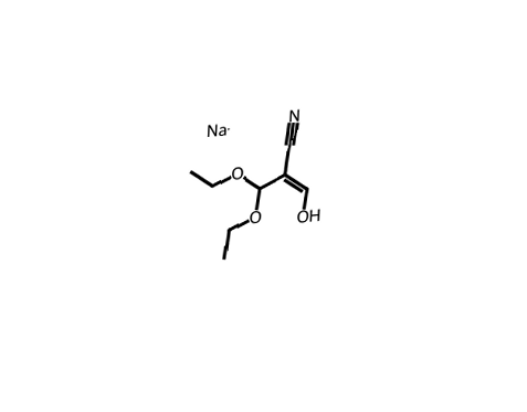 CCOC(OCC)/C(C#N)=C\O.[Na]